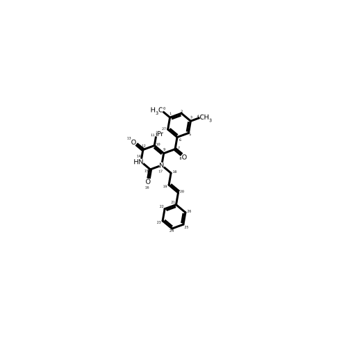 Cc1cc(C)cc(C(=O)c2c(C(C)C)c(=O)[nH]c(=O)n2CC=Cc2ccccc2)c1